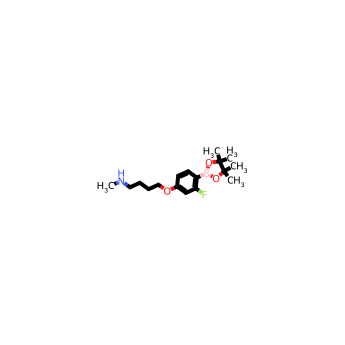 CNCCCCOc1ccc(B2OC(C)(C)C(C)(C)O2)c(F)c1